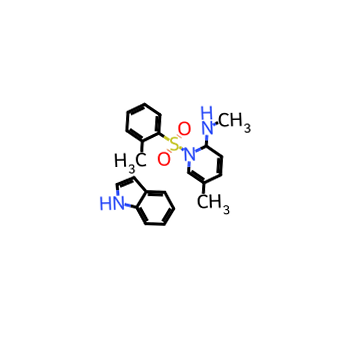 CNC1C=CC(C)=CN1S(=O)(=O)c1ccccc1C.c1ccc2[nH]ccc2c1